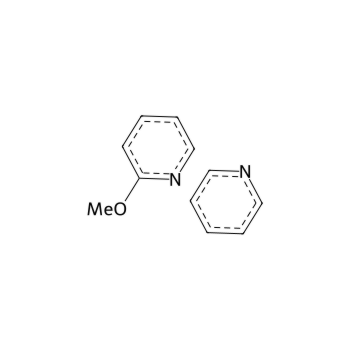 COc1ccccn1.c1ccncc1